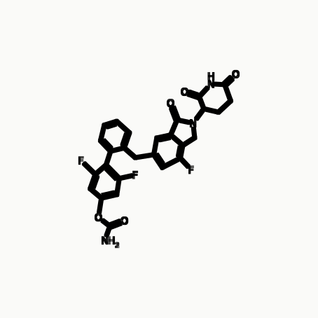 NC(=O)Oc1cc(F)c(-c2ccccc2Cc2cc(F)c3c(c2)C(=O)N(C2CCC(=O)NC2=O)C3)c(F)c1